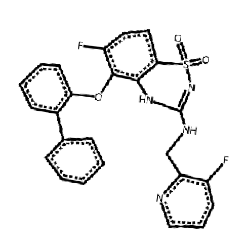 O=S1(=O)N=C(NCc2ncccc2F)Nc2c1ccc(F)c2Oc1ccccc1-c1ccccc1